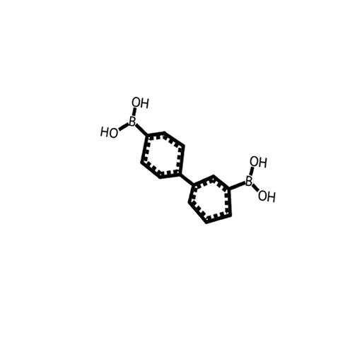 OB(O)c1ccc(-c2cccc(B(O)O)c2)cc1